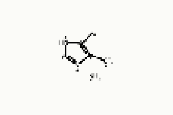 Cc1[nH]cnc1C(F)(F)F.N